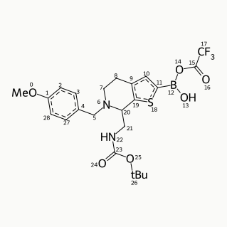 COc1ccc(CN2CCc3cc(B(O)OC(=O)C(F)(F)F)sc3C2CNC(=O)OC(C)(C)C)cc1